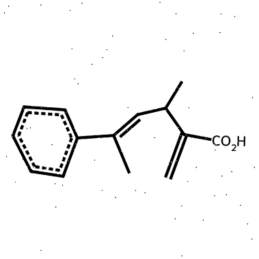 C=C(C(=O)O)C(C)C=C(C)c1ccccc1